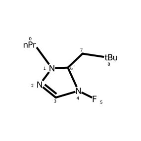 CCCN1N=CN(F)C1CC(C)(C)C